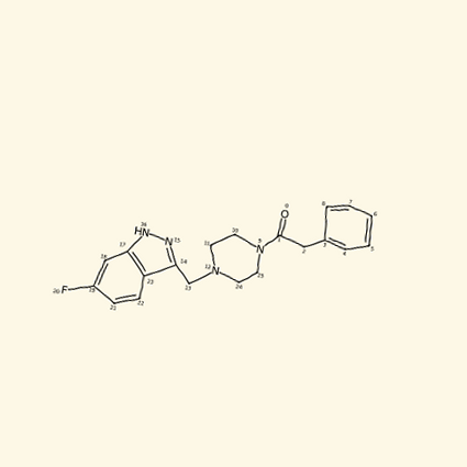 O=C(Cc1ccccc1)N1CCN(Cc2n[nH]c3cc(F)ccc23)CC1